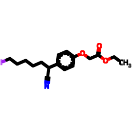 CCOC(=O)COc1ccc(C(C#N)CCCCCI)cc1